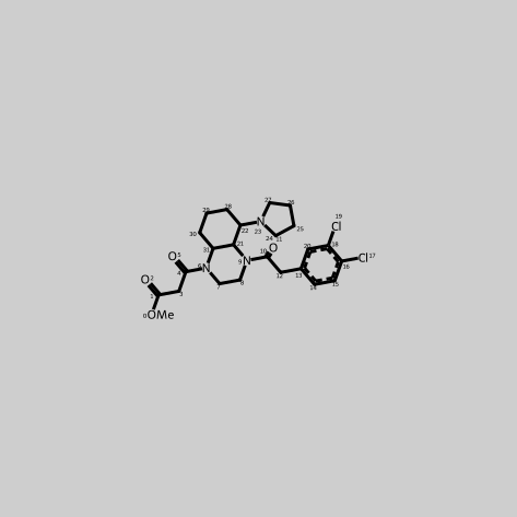 COC(=O)CC(=O)N1CCN(C(=O)Cc2ccc(Cl)c(Cl)c2)C2C(N3CCCC3)CCCC21